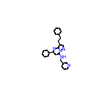 c1ccc(CCc2cnn3c(NCc4cccnc4)cc(-c4ccccc4)nc23)cc1